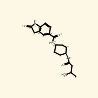 CC(N)CC(=O)N[C@H]1CC[C@H](NC(=O)c2ccc3c(c2)CC(=O)N3)CC1